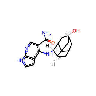 NC(=O)c1cnc2[nH]ccc2c1N[C@H]1C2CC3C[C@@H]1C[C@](O)(C3)C2